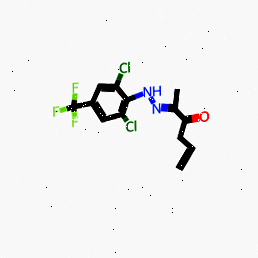 C=CCC(=O)/C(C)=N/Nc1c(Cl)cc(C(F)(F)F)cc1Cl